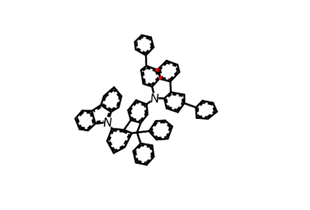 c1ccc(-c2ccc(N(c3ccc4c(c3)C(c3ccccc3)(c3ccccc3)c3cccc(-n5c6ccccc6c6ccccc65)c3-4)c3ccc(-c4ccccc4)cc3-c3ccccc3)cc2)cc1